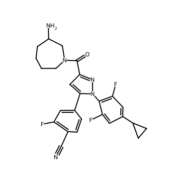 N#Cc1ccc(-c2cc(C(=O)N3CCCCC(N)C3)nn2-c2c(F)cc(C3CC3)cc2F)cc1F